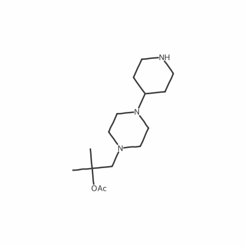 CC(=O)OC(C)(C)CN1CCN(C2CCNCC2)CC1